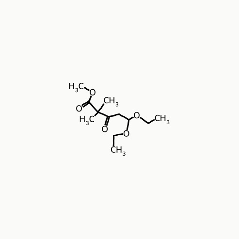 CCOC(CC(=O)C(C)(C)C(=O)OC)OCC